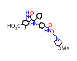 COC1CCN(CCONC(=O)c2ccc(NC(=C3C(=O)Nc4cc(C(=O)O)c(C)cc43)c3ccccc3)cc2)CC1